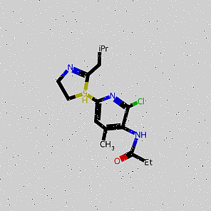 CCC(=O)Nc1c(C)cc([SH]2CCN=C2CC(C)C)nc1Cl